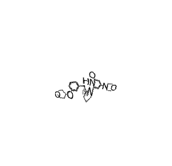 O=c1cc(N2CCOCC2)cc(N2CCC[C@H]2Cc2cccc(OC3CCOCC3)c2)[nH]1